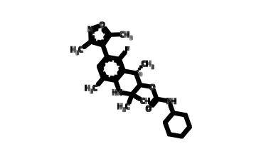 Cc1cc(-c2c(C)noc2C)c(F)c2c1NC(C)(C)C(OC(=O)NC1CCCCC1)[C@H]2C